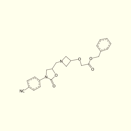 N#Cc1ccc(N2CC(CN3CC(OCC(=O)OCc4ccccc4)C3)OC2=O)cc1